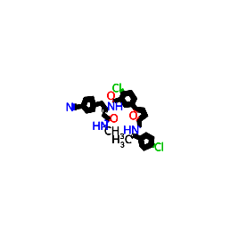 CNC(=O)C[C@@H](Cc1ccc(C#N)cc1)NC(=O)c1cc(-c2ccc(CN[C@H](C)c3ccc(Cl)cc3)o2)ccc1Cl